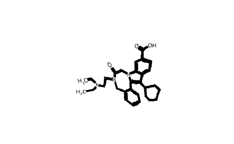 CCN(CC)CCN1Cc2ccccc2-c2c(C3CCCCC3)c3ccc(C(=O)O)cc3n2CC1=O